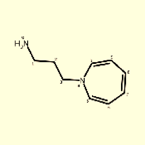 NCCCN1C=CC=CC=C1